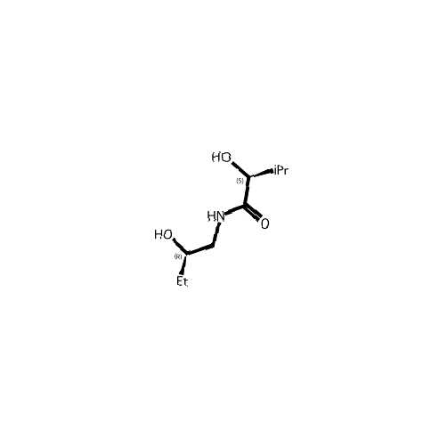 CC[C@@H](O)CNC(=O)[C@@H](O)C(C)C